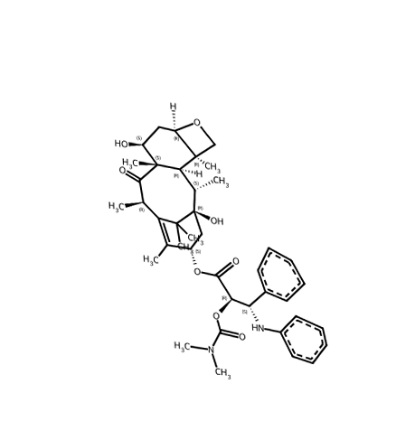 CC1=C2[C@@H](C)C(=O)[C@@]3(C)[C@H]([C@H](C)[C@](O)(C[C@@H]1OC(=O)[C@H](OC(=O)N(C)C)[C@@H](Nc1ccccc1)c1ccccc1)C2(C)C)[C@]1(C)CO[C@@H]1C[C@@H]3O